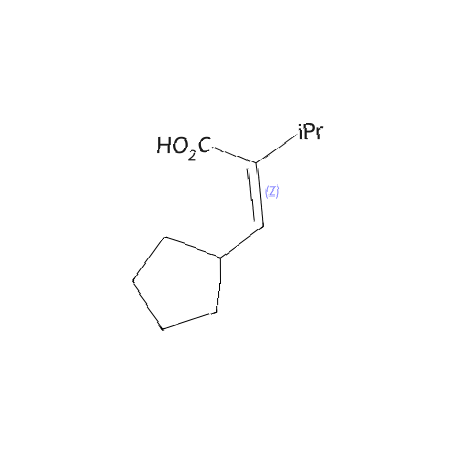 CC(C)/C(=C/C1CCCC1)C(=O)O